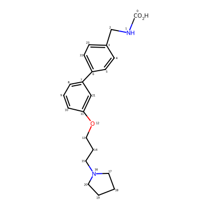 O=C(O)NCc1ccc(-c2cccc(OCCCN3CCCC3)c2)cc1